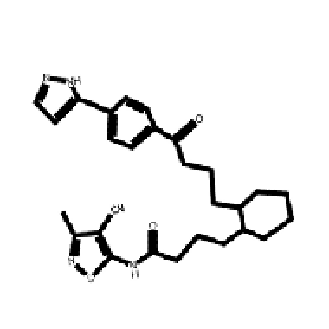 Cc1nsc(NC(=O)CCCC2CCCCC2CCCC(=O)c2ccc(-c3ccn[nH]3)cc2)c1C#N